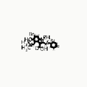 CN(C)Cc1c(O)c(Br)cc2c1c(C(=O)O)c(CSc1ccccc1)n2C